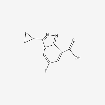 O=C(O)c1cc(F)cn2c(C3CC3)nnc12